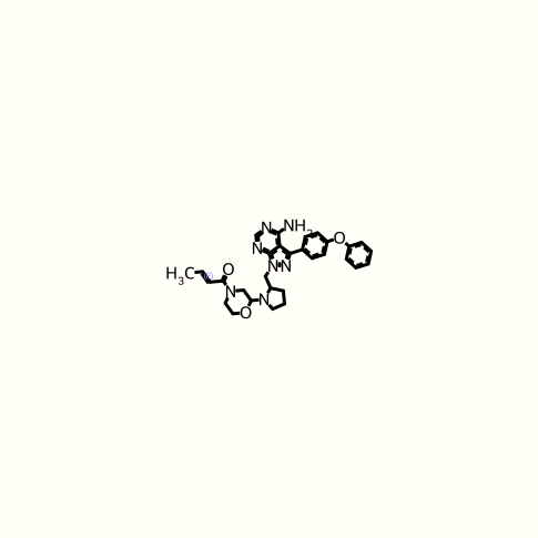 C/C=C/C(=O)N1CCOC(N2CCCC2Cn2nc(-c3ccc(Oc4ccccc4)cc3)c3c(N)ncnc32)C1